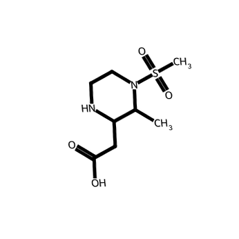 CC1C(CC(=O)O)NCCN1S(C)(=O)=O